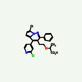 CCc1ccc2c(-c3ccnc(Cl)c3)c(CCOC(C)C(=O)O)c(-c3ccccc3)nn12